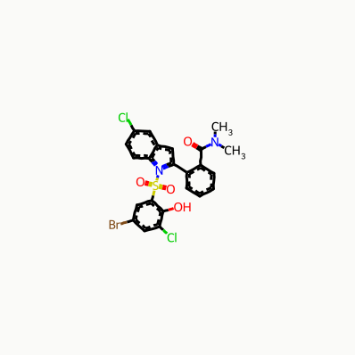 CN(C)C(=O)c1ccccc1-c1cc2cc(Cl)ccc2n1S(=O)(=O)c1cc(Br)cc(Cl)c1O